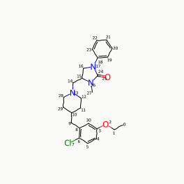 CCOc1ccc(Cl)c(CC2CCN(CC3CN(c4ccccc4)C(=O)N3C)CC2)c1